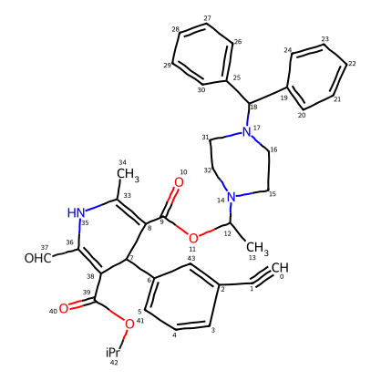 C#Cc1cccc(C2C(C(=O)OC(C)N3CCN(C(c4ccccc4)c4ccccc4)CC3)=C(C)NC(C=O)=C2C(=O)OC(C)C)c1